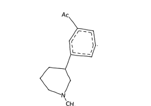 CC(=O)c1c[c]cc(C2CCCN(C)C2)c1